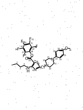 CCCCNc1nc(CN2CCN(c3ccc(OC)cc3)CC2)sc1C(=O)Oc1c(F)c(F)c(F)c(F)c1F